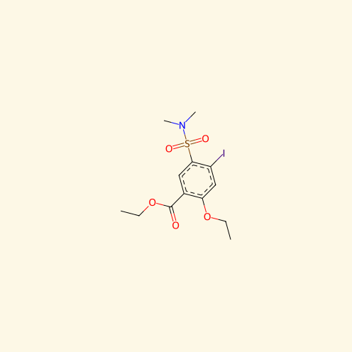 CCOC(=O)c1cc(S(=O)(=O)N(C)C)c(I)cc1OCC